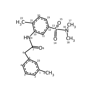 Cc1cccc(CC(=O)Nc2cc(S(=O)(=O)N(C)C)ccc2C)c1